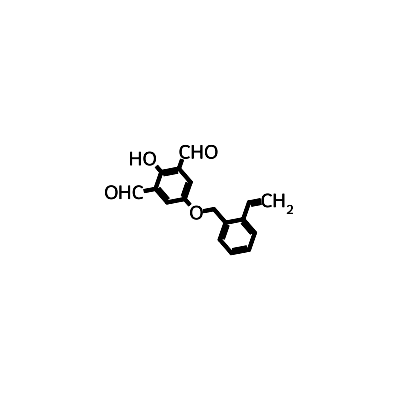 C=Cc1ccccc1COc1cc(C=O)c(O)c(C=O)c1